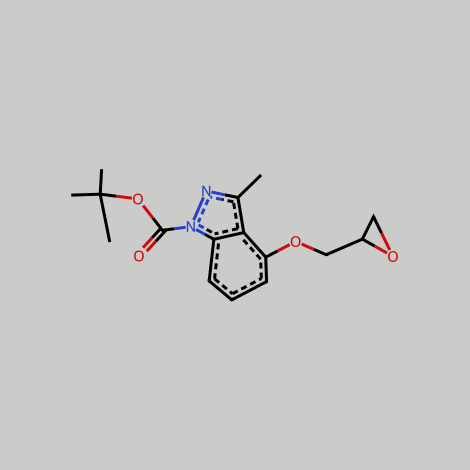 Cc1nn(C(=O)OC(C)(C)C)c2cccc(OCC3CO3)c12